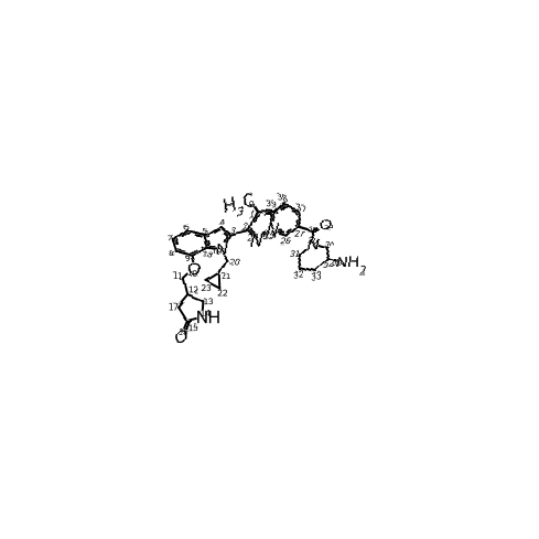 Cc1c(-c2cc3cccc(OCC4CNC(=O)C4)c3n2CC2CC2)nn2cc(C(=O)N3CCCC(N)C3)ccc12